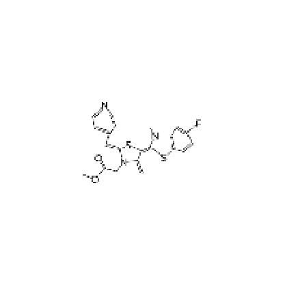 C=C1/C(=C2\Sc3ccc(F)cc3N2C)S/C(=C\c2ccncc2)N1CC(=O)OC